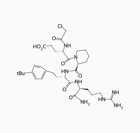 CC(C)(C)c1ccc(CC[C@H](NC(=O)[C@@H]2CCCCN2C(=O)[C@H](CCC(=O)O)NC(=O)CCl)C(=O)N[C@@H](CCCNC(=N)N)C(N)=O)cc1